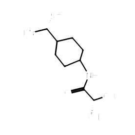 C[C@@H](O)C(=O)NC1CCC([C@@H](C)N)CC1